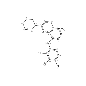 Cl.Fc1c(Nc2ncnc3ccc(C4CCCNC4)cc23)ccc(Cl)c1Cl